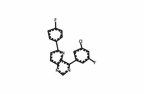 Fc1ccc(-c2ccc3ncnc(-c4cc(F)cc(Cl)c4)c3n2)cc1